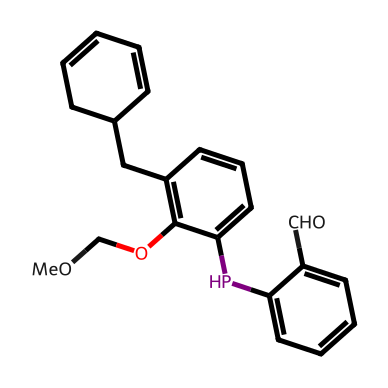 COCOc1c(CC2C=CC=CC2)cccc1Pc1ccccc1C=O